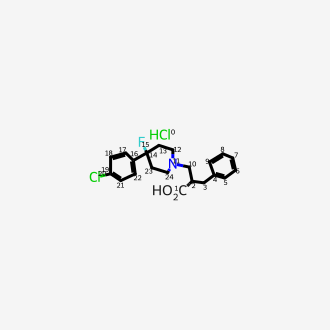 Cl.O=C(O)C(Cc1ccccc1)CN1CCC(F)(c2ccc(Cl)cc2)CC1